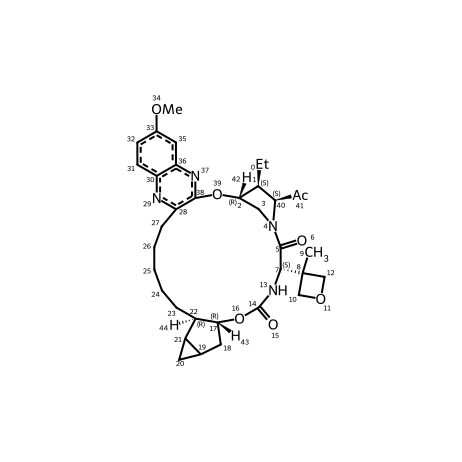 CC[C@@H]1[C@@H]2CN(C(=O)[C@H](C3(C)COC3)NC(=O)O[C@@H]3CC4CC4[C@H]3CCCCCc3nc4ccc(OC)cc4nc3O2)[C@@H]1C(C)=O